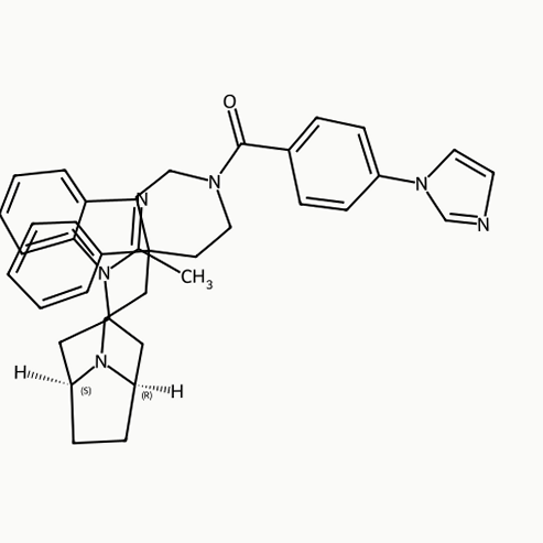 Cc1nc2ccccc2n1C1C[C@H]2CC[C@@H](C1)N2CCC1(c2ccccc2)CCN(C(=O)c2ccc(-n3ccnc3)cc2)CC1